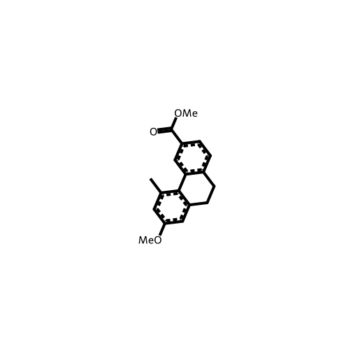 COC(=O)c1ccc2c(c1)-c1c(C)cc(OC)cc1CC2